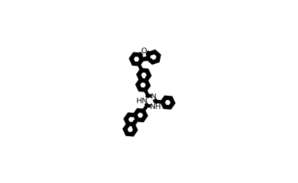 c1ccc(C2=NC(c3ccc4cc(-c5cccc6oc7ccccc7c56)ccc4c3)NC(c3ccc4c(ccc5ccccc54)c3)N2)cc1